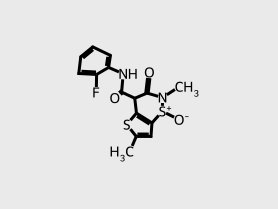 Cc1cc2c(s1)C(C(=O)Nc1ccccc1F)C(=O)N(C)[S+]2[O-]